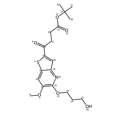 COc1cc2sc(C(=O)CCC(=O)OC(C)(C)C)cc2nc1OCCCO